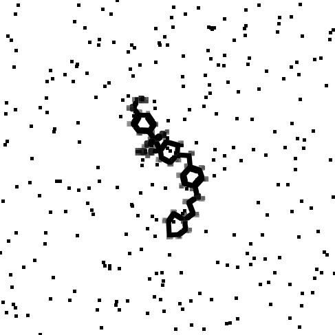 CCCCOc1ccc(S(=O)(=O)C2(C(=O)O)CCN(Cc3ccc(OCCN4CCCCC4)cc3)CC2)cc1